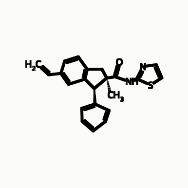 C=Cc1ccc2c(c1)[C@H](c1ccccc1)[C@](C)(C(=O)Nc1nccs1)C2